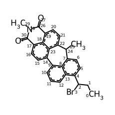 CCC(Br)c1ccc2c3c(cccc13)-c1ccc3c4c(ccc(c14)C2C)C(=O)N(C)C3=O